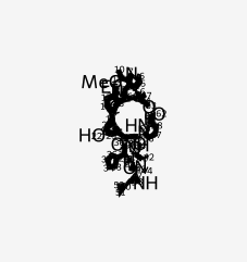 CCn1c(-c2cccnc2[C@H](C)OC)c2c3cc(ccc31)-c1cc(O)cc(c1)C[C@H](NC(=O)[C@H](C1CCCC1)N(C)C(=O)[C@@H](C)N(C)C(=O)[C@@H]1N[C@@H]1C1CC1)C(=O)N1CCC[C@H](N1)C(=O)OCC(C)(C)C2